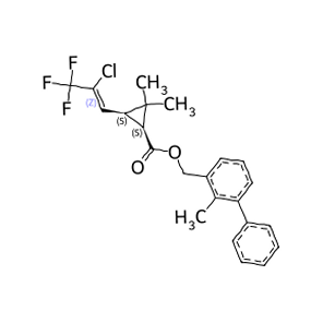 Cc1c(COC(=O)[C@H]2[C@@H](/C=C(\Cl)C(F)(F)F)C2(C)C)cccc1-c1ccccc1